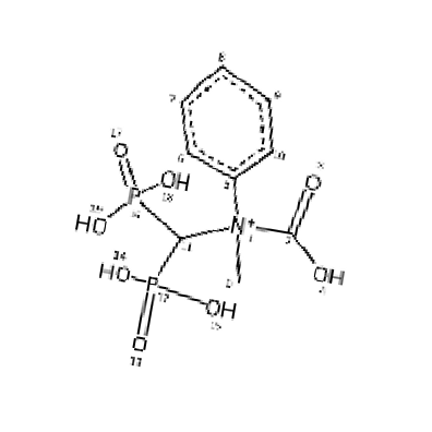 C[N+](C(=O)O)(c1ccccc1)C(P(=O)(O)O)P(=O)(O)O